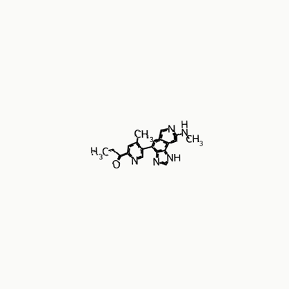 CCC(=O)c1cc(C)c(-c2cc3cnc(NC)cc3c3[nH]cnc23)cn1